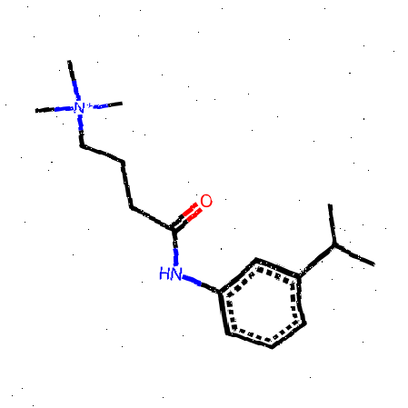 CC(C)c1cccc(NC(=O)CCC[N+](C)(C)C)c1